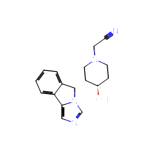 N#CCN1CC[C@@H](O)[C@H](C2c3ccccc3-c3cncn32)C1